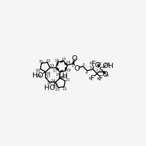 O=C(OCCC(F)C(F)(F)S(=O)(=O)O)c1ccc2c(c1)[C@H]1CCCC1(O)CCC1(O)CCCC21